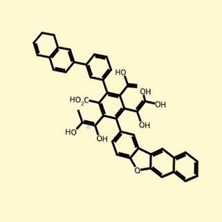 C=C(O)c1c(C(O)=C(O)O)c(-c2ccc3oc4cc5ccccc5cc4c3c2)c(/C(O)=C(\C)O)c(C(=O)O)c1-c1cccc(-c2ccc3c(c2)CCC=C3)c1